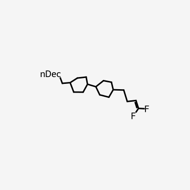 CCCCCCCCCCCC1CCC(C2CCC(CCC=C(F)F)CC2)CC1